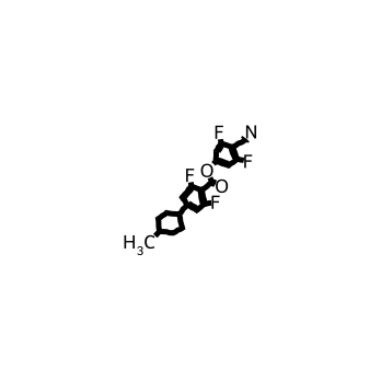 CC1CCC(c2cc(F)c(C(=O)Oc3cc(F)c(C#N)c(F)c3)c(F)c2)CC1